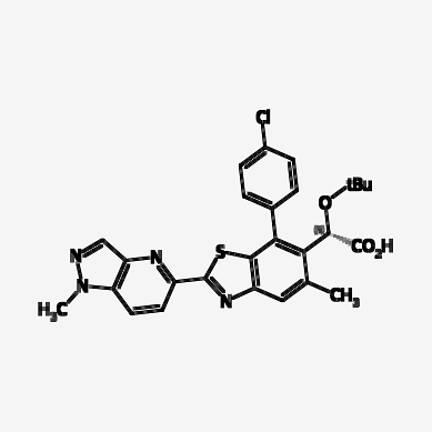 Cc1cc2nc(-c3ccc4c(cnn4C)n3)sc2c(-c2ccc(Cl)cc2)c1[C@H](OC(C)(C)C)C(=O)O